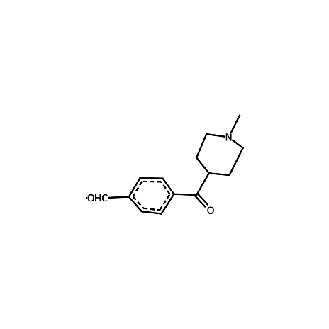 CN1CCC(C(=O)c2ccc([C]=O)cc2)CC1